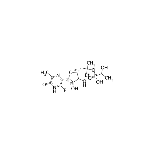 CCC(C)(C[C@H]1O[C@@H](c2nc(C)c(=O)[nH]c2F)[C@@H](O)C1O)OP(=O)(O)C(C)O